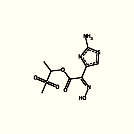 CC(OC(=O)C(=NO)c1csc(N)n1)S(C)(=O)=O